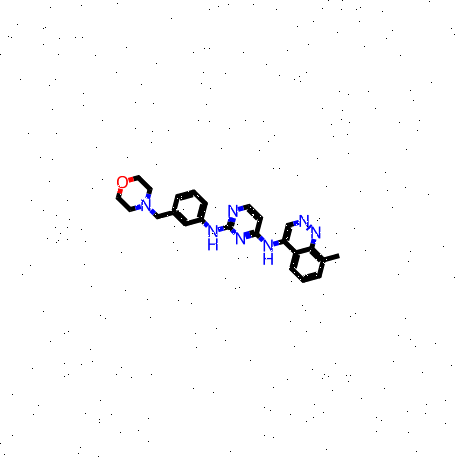 Cc1cccc2c(Nc3ccnc(Nc4cccc(CN5CCOCC5)c4)n3)cnnc12